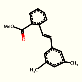 COC(=O)c1ccccc1C=Cc1cc(C)cc(C)c1